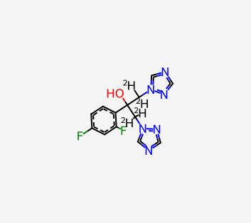 [2H]C([2H])(n1cncn1)C(O)(c1ccc(F)cc1F)C([2H])([2H])n1cncn1